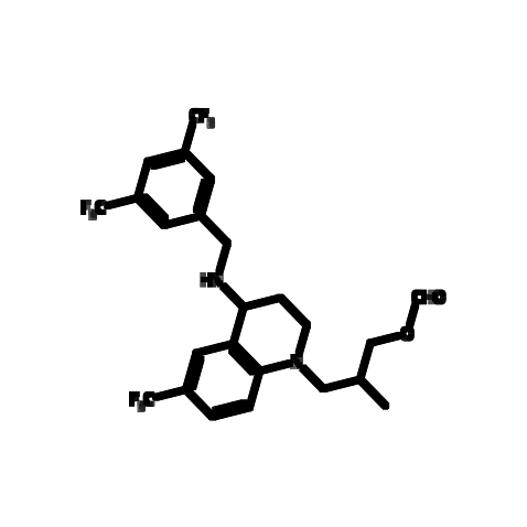 CC(COC=O)CN1CCC(NCc2cc(C(F)(F)F)cc(C(F)(F)F)c2)c2cc(C(F)(F)F)ccc21